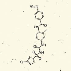 COc1ccc(C(=O)Nc2ccc(NC(=O)NS(=O)(=O)c3ccc(Cl)s3)cc2C)cc1